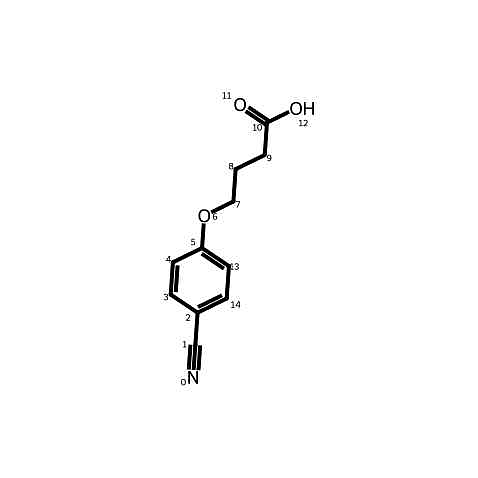 N#Cc1ccc(OCCCC(=O)O)cc1